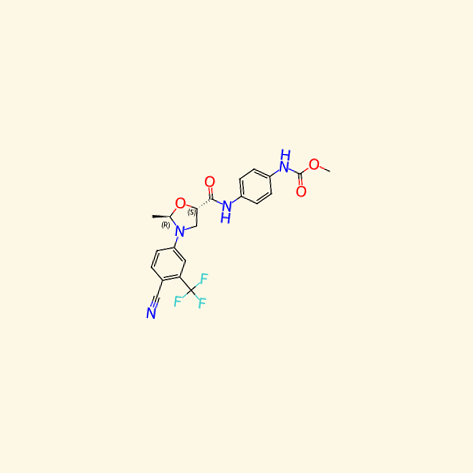 COC(=O)Nc1ccc(NC(=O)[C@@H]2CN(c3ccc(C#N)c(C(F)(F)F)c3)[C@@H](C)O2)cc1